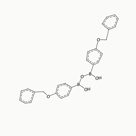 OB(OB(O)c1ccc(OCc2ccccc2)cc1)c1ccc(OCc2ccccc2)cc1